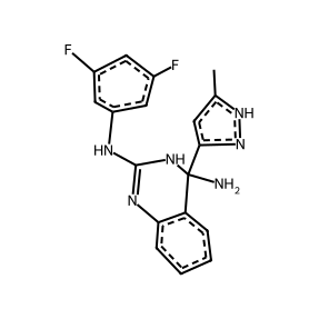 Cc1cc(C2(N)NC(Nc3cc(F)cc(F)c3)=Nc3ccccc32)n[nH]1